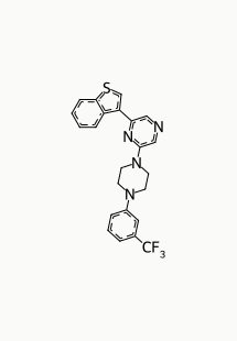 FC(F)(F)c1cccc(N2CCN(c3cncc(-c4csc5ccccc45)n3)CC2)c1